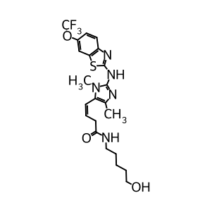 Cc1nc(Nc2nc3ccc(OC(F)(F)F)cc3s2)n(C)c1/C=C\CC(=O)NCCCCCO